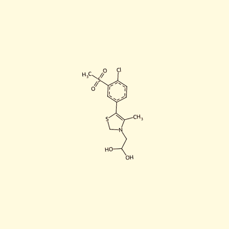 CC1=C(c2ccc(Cl)c(S(C)(=O)=O)c2)SCN1C[C](O)O